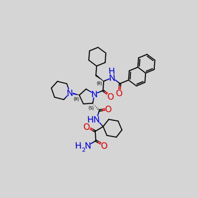 NC(=O)C(=O)C1(NC(=O)[C@@H]2C[C@@H](N3CCCCC3)CN2C(=O)[C@@H](CC2CCCCC2)NC(=O)c2ccc3ccccc3c2)CCCCC1